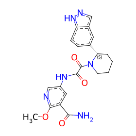 COc1ncc(NC(=O)C(=O)N2CCCC[C@H]2c2ccc3[nH]ncc3c2)cc1C(N)=O